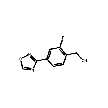 CCc1ccc(-c2ncon2)cc1F